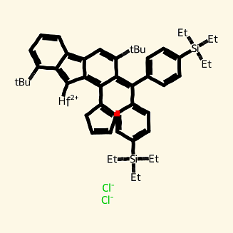 CC[Si](CC)(CC)c1ccc(C(c2ccc([Si](CC)(CC)CC)cc2)=c2c(C(C)(C)C)cc3c(c2C2=CC=CC2)[C]([Hf+2])=c2c(C(C)(C)C)cccc2=3)cc1.[Cl-].[Cl-]